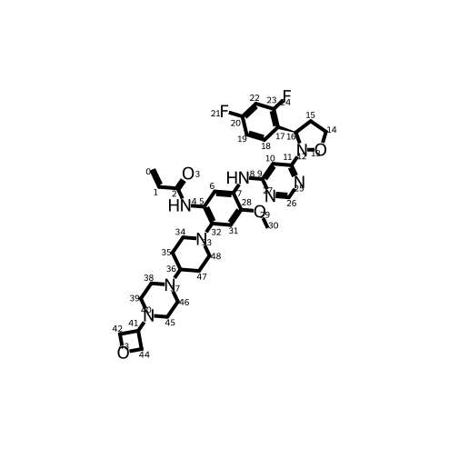 C=CC(=O)Nc1cc(Nc2cc(N3OCC[C@@H]3c3ccc(F)cc3F)ncn2)c(OC)cc1N1CCC(N2CCN(C3COC3)CC2)CC1